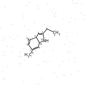 CCC1=CC2N=CC(C)=CC2N1